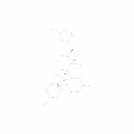 CCc1cc(C[C@@H]2OCC[C@@]3(S(=O)(=O)c4ccc(Cl)cc4)c4c(F)ccc(F)c4OC[C@@H]23)no1